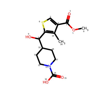 COC(=O)c1csc(C(O)C2CCN(C(=O)O)CC2)c1C